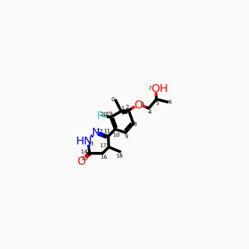 Cc1c(OCC(C)O)ccc(C2=NNC(=O)CC2C)c1F